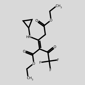 CCOC(=O)CC(NC1CC1)=C(C(=O)OCC)C(=O)C(F)(F)F